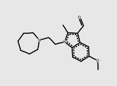 COc1ccc2c(c1)c(C=O)c(C)n2CCN1CCCCCC1